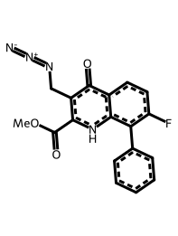 COC(=O)c1[nH]c2c(-c3ccccc3)c(F)ccc2c(=O)c1CN=[N+]=[N-]